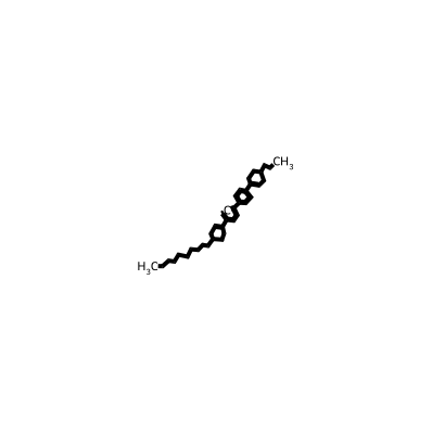 CCCCCCCCCCC1CC=C(c2ccc(-c3ccc(C4=CCC(CCC)CC4)cc3)cc2)CC1